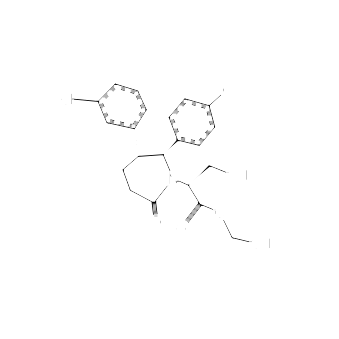 CCOC(=O)[C@H](CC)N1C(=O)CC[C@H](c2cccc(Cl)c2)[C@H]1c1ccc(Cl)cc1